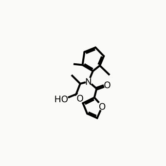 Cc1cccc(C)c1N(C(=O)c1ccco1)C(C)C(=O)O